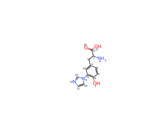 NC(Cc1ccc(O)c(-n2ccnc2)c1)C(=O)O